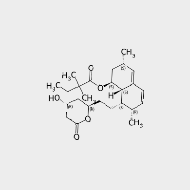 CCC(C)(C)C(=O)O[C@H]1C[C@H](C)C=C2C=C[C@H](C)[C@H](CC[C@@H]3C[C@@H](O)CC(=O)O3)[C@@H]21